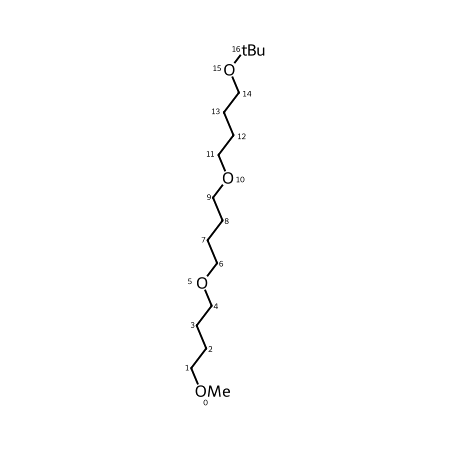 COCCCCOCCCCOCCCCOC(C)(C)C